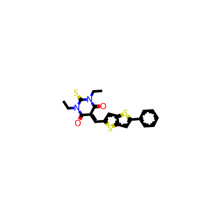 CCN1C(=O)C(=Cc2cc3sc(-c4ccccc4)cc3s2)C(=O)N(CC)C1=S